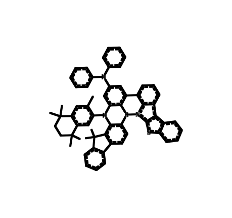 Cc1cc2c(cc1N1c3cc(N(c4ccccc4)c4ccccc4)cc4c3B(c3ccc5c(c31)C(C)(C)c1ccccc1-5)n1c3sc5ccccc5c3c3cccc-4c31)C(C)(C)CCC2(C)C